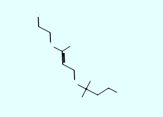 C/C(=C\COC(C)(C)CCO)OCCN